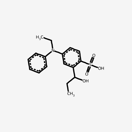 CCC(O)c1cc(N(CC)c2ccccc2)ccc1S(=O)(=O)O